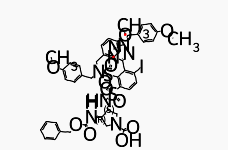 COc1ccc(CN(Cc2ccc(OC)cc2)S(=O)(=O)c2c(S(=O)(=O)N[C@H]3CN(C(=O)O)C[C@H]3NC(=O)OCc3ccccc3)ccc(I)c2-c2nnn(Cc3ccc(OC)cc3)n2)cc1